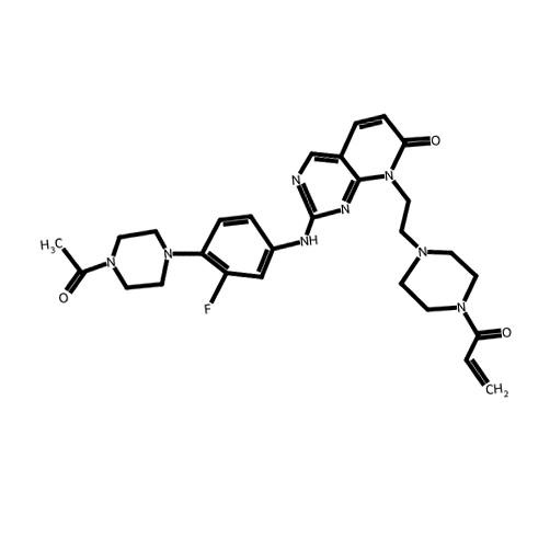 C=CC(=O)N1CCN(CCn2c(=O)ccc3cnc(Nc4ccc(N5CCN(C(C)=O)CC5)c(F)c4)nc32)CC1